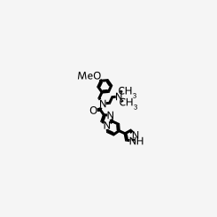 COc1cccc(CN(CCN(C)C)C(=O)c2cn3ccc(-c4cn[nH]c4)cc3n2)c1